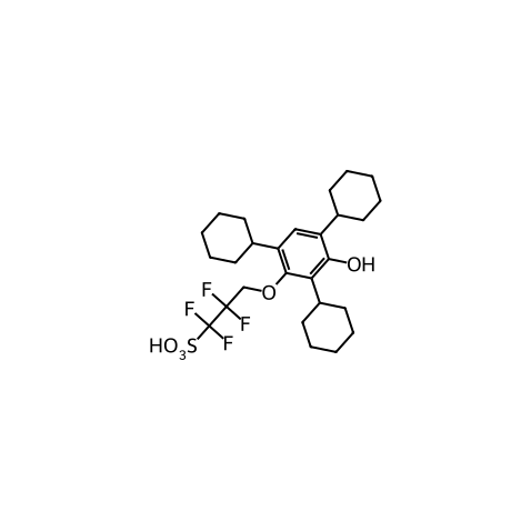 O=S(=O)(O)C(F)(F)C(F)(F)COc1c(C2CCCCC2)cc(C2CCCCC2)c(O)c1C1CCCCC1